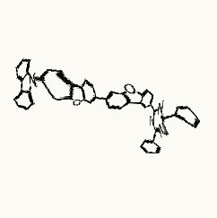 c1ccc(-c2nc(-c3ccccc3)nc(-c3ccc4oc5cc(-c6ccc7c(c6)oc6cc(-n8c9ccccc9c9ccccc98)ccc67)ccc5c4c3)n2)cc1